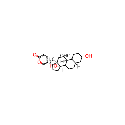 C[C@]12CC[C@H]3[C@@H](CC[C@H]4C[C@@H](O)CC[C@@]43C=O)[C@@]1(O)CC[C@@H]2c1ccc(=O)oc1